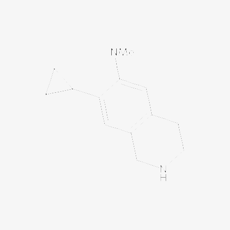 CNc1cc2c(cc1C1CC1)CNCC2